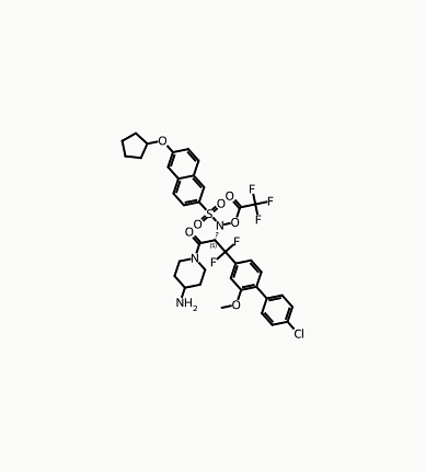 COc1cc(C(F)(F)[C@H](C(=O)N2CCC(N)CC2)N(OC(=O)C(F)(F)F)S(=O)(=O)c2ccc3cc(OC4CCCC4)ccc3c2)ccc1-c1ccc(Cl)cc1